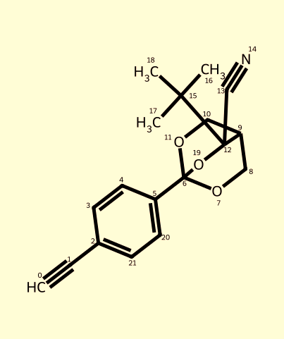 C#Cc1ccc(C23OCC(CO2)C(C#N)(C(C)(C)C)O3)cc1